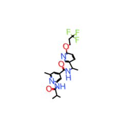 Cc1cc(C(=O)NC(C)c2ccc(OCCC(F)(F)F)nc2)cc(NC(=O)C(C)C)n1